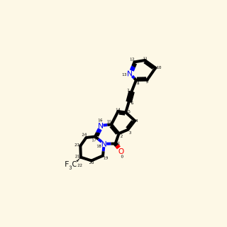 O=c1c2ccc(C#Cc3ccccn3)cc2nc2n1CC[C@H](C(F)(F)F)CC2